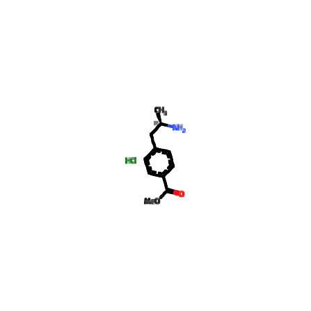 COC(=O)c1ccc(C[C@@H](C)N)cc1.Cl